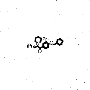 CC(C)CC(C(=O)c1ccc(OCc2ccccc2)c(C(C)C)c1)N1CCCCC1